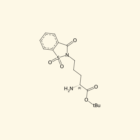 CC(C)(C)OC(=O)[C@H](N)CCCN1C(=O)c2ccccc2S1(=O)=O